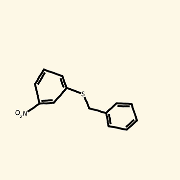 O=[N+]([O-])c1cccc(SCc2ccccc2)c1